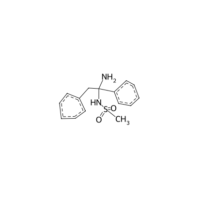 CS(=O)(=O)NC(N)(Cc1ccccc1)c1ccccc1